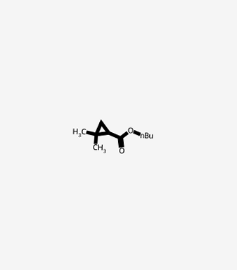 CCCCOC(=O)C1CC1(C)C